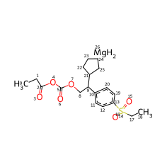 CCC(=O)OC(=O)OCC(c1ccc(S(=O)(=O)CC)cc1)C1CCCC1.[MgH2]